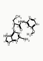 CC[C@H](Sc1nc(N)nc2nc[nH]c12)C(=O)Nc1cc(OC)ncn1